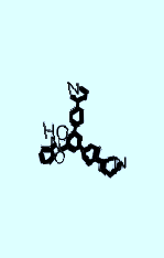 Oc1c(-c2ccc(-c3cccnc3)cc2)cc(-c2ccc(-c3cccnc3)cc2)cc1-c1nc2ccccc2o1